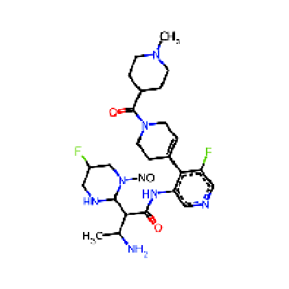 CC(N)C(C(=O)Nc1cncc(F)c1C1=CCN(C(=O)C2CCN(C)CC2)CC1)C1NCC(F)CN1N=O